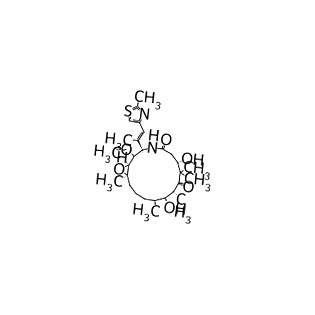 COC1[C@@H](/C(C)=C/c2csc(C)n2)NC(=O)C[C@H](O)C(C)(C)C(=O)[C@H](C)[C@@H](O)[C@@H](C)CCC[C@@]2(C)O[C@@H]12